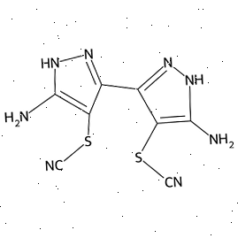 N#CSc1c(-c2n[nH]c(N)c2SC#N)n[nH]c1N